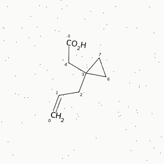 C=CCC1(CC(=O)O)CC1